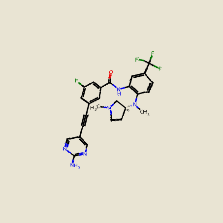 CN1CC[C@@H](N(C)c2ccc(C(F)(F)F)cc2NC(=O)c2cc(F)cc(C#Cc3cnc(N)nc3)c2)C1